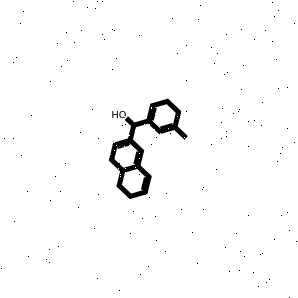 CC1=CC(C(O)C2=CCC3CCC=CC3=C2)=CCC1